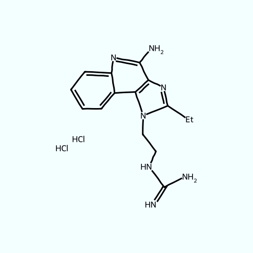 CCc1nc2c(N)nc3ccccc3c2n1CCNC(=N)N.Cl.Cl